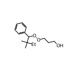 CCC(C)(C)C(OOCCCO)c1ccccc1